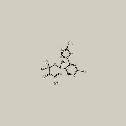 COC1(c2ncc(F)cc2-c2cnn(C)c2)C=C(C#N)C(=O)C(C)(C)C1